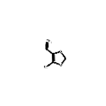 C=CC1=C(CC)OCO1